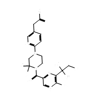 Cc1ncc(C(=O)N2CCN(c3ccc(CC(=O)N=O)cn3)CC2(C)C)nc1C(C)(C)CC(C)C